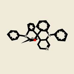 C1=NCCC2C1N(c1ccccc1)c1ccccc1C21c2ccccc2B(c2ccccc2)C2CNCCC21